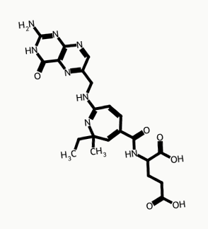 CCC1(C)C=C(C(=O)NC(CCC(=O)O)C(=O)O)C=CC(NCc2cnc3nc(N)[nH]c(=O)c3n2)=N1